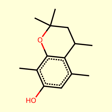 Cc1cc(O)c(C)c2c1C(C)CC(C)(C)O2